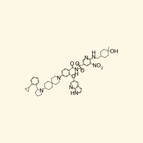 CC1(O)CCC(CNc2ncc(S(=O)(=O)NC(=O)c3ccc(N4CCC5(CCC(N6CCCC6c6ccccc6C6CC6)CC5)CC4)cc3Oc3cnc4[nH]ccc4c3)cc2[N+](=O)[O-])CC1